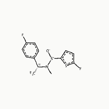 CN([C@@H](c1ccc(F)cc1)C(F)(F)F)[S+]([O-])c1ccc(F)s1